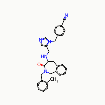 Cc1ccccc1CN1Cc2ccccc2CC(NCc2cncn2Cc2ccc(C#N)cc2)C1=O